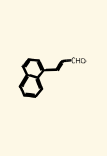 O=[C]C=Cc1cccc2ccccc12